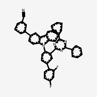 N#Cc1cccc(-c2ccc3c(c2)c2ccccc2n3-c2ccc(-c3ccc(F)cc3F)cc2-c2nc(-c3ccccc3)nc(-c3ccccc3)n2)c1